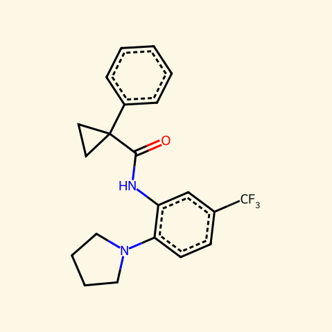 O=C(Nc1cc(C(F)(F)F)ccc1N1CCCC1)C1(c2ccccc2)CC1